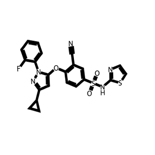 N#Cc1cc(S(=O)(=O)Nc2nccs2)ccc1Oc1cc(C2CC2)nn1-c1ccccc1F